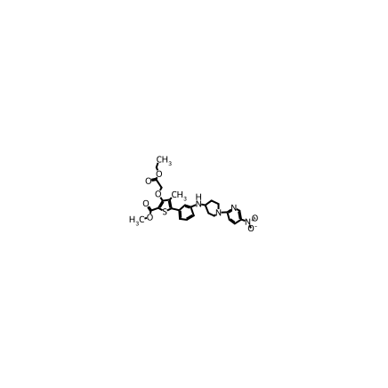 CCOC(=O)COc1c(C(=O)OC)sc(-c2cccc(NC3CCN(c4ccc([N+](=O)[O-])cn4)CC3)c2)c1C